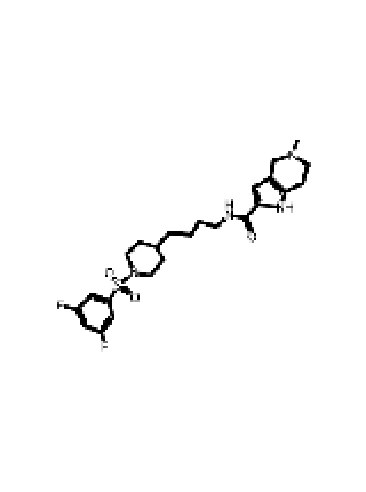 CN1CCc2[nH]c(C(=O)NCCCCC3CCN(S(=O)(=O)c4cc(F)cc(F)c4)CC3)cc2C1